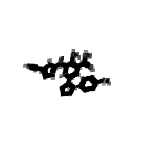 Cc1ccc([C@@H]2CCCN2c2cc(C(=O)O)c(C)c(Nc3ncc(C#N)s3)n2)cc1